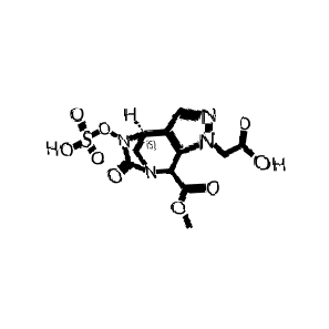 COC(=O)C1c2c(cnn2CC(=O)O)[C@H]2CN1C(=O)N2OS(=O)(=O)O